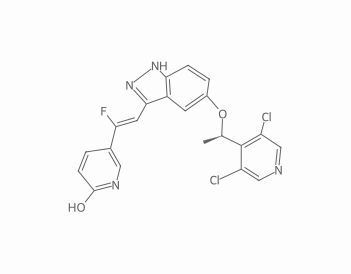 C[C@@H](Oc1ccc2[nH]nc(/C=C(\F)c3ccc(O)nc3)c2c1)c1c(Cl)cncc1Cl